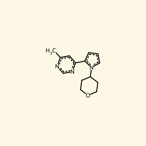 Cc1cc(-c2cccn2C2CCOCC2)ncn1